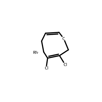 ClC1=C(Cl)CCC=CCC1.[Rh]